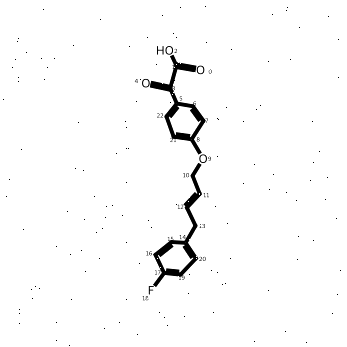 O=C(O)C(=O)c1ccc(OCC=CCc2ccc(F)cc2)cc1